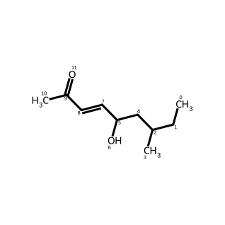 CCC(C)CC(O)C=CC(C)=O